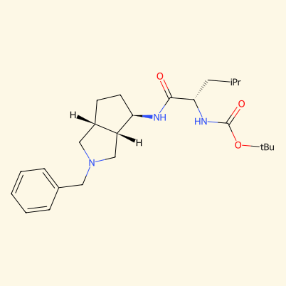 CC(C)C[C@H](NC(=O)OC(C)(C)C)C(=O)N[C@@H]1CC[C@H]2CN(Cc3ccccc3)C[C@H]21